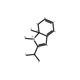 CC(C)C1=CC2=CC=CCC2(C)N1C